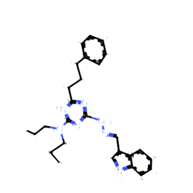 CCCN(CCC)c1nc(CCCc2ccccc2)nc(N/N=C/c2c[nH]c3ccccc23)n1